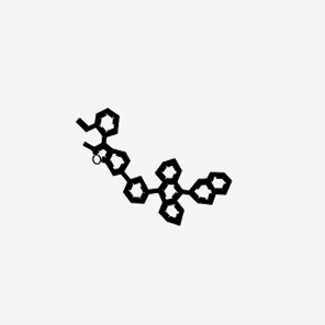 C=Cc1ccccc1-c1c(C)oc2cc(-c3cccc(-c4c5ccccc5c(-c5ccc6ccccc6c5)c5ccccc45)c3)ccc12